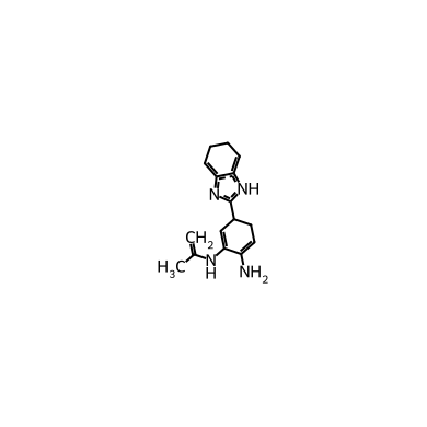 C=C(C)NC1=CC(c2nc3c([nH]2)=CCCC=3)CC=C1N